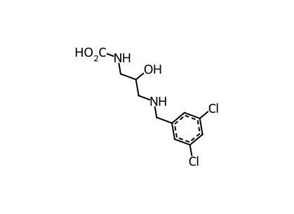 O=C(O)NCC(O)CNCc1cc(Cl)cc(Cl)c1